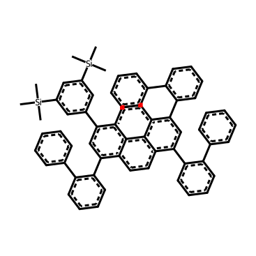 C[Si](C)(C)c1cc(-c2cc(-c3ccccc3-c3ccccc3)c3ccc4c(-c5ccccc5-c5ccccc5)cc(-c5ccccc5-c5ccccc5)c5ccc2c3c54)cc([Si](C)(C)C)c1